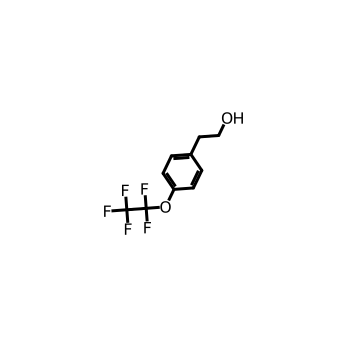 OCCc1ccc(OC(F)(F)C(F)(F)F)cc1